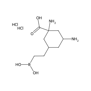 Cl.Cl.NC1CC(CCB(O)O)CC(N)(C(=O)O)C1